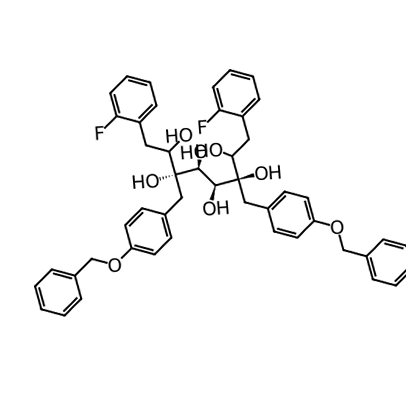 OC(Cc1ccccc1F)[C@](O)(Cc1ccc(OCc2ccccc2)cc1)[C@@H](O)[C@H](O)[C@@](O)(Cc1ccc(OCc2ccccc2)cc1)C(O)Cc1ccccc1F